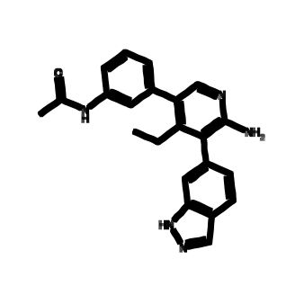 CCc1c(-c2cccc(NC(C)=O)c2)cnc(N)c1-c1ccc2cn[nH]c2c1